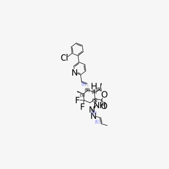 C/C=C/N=N\N[C@@]12CC(F)(F)[C@@H](C)[C@H](/C=C/c3ccc(-c4ccccc4Cl)cn3)[C@@H]1[C@@H](C)OC2=O